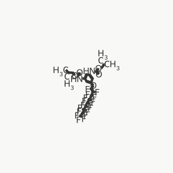 CC(C)COC(=O)Nc1cc(NC(=O)OCC(C)C)cc(OC(F)=C(F)C(F)(F)C(F)(F)C(F)(F)C(F)(F)C(F)(F)C(F)(F)C(F)(F)F)c1